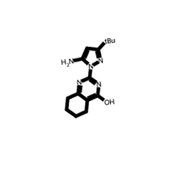 CC(C)(C)c1cc(N)n(-c2nc(O)c3c(n2)CCCC3)n1